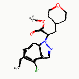 COC(=O)C(CC1CCOCC1)n1ncc2c(Br)c(C)ccc21